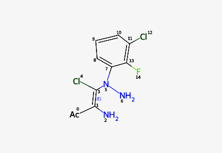 CC(=O)/C(N)=C(\Cl)N(N)c1cccc(Cl)c1F